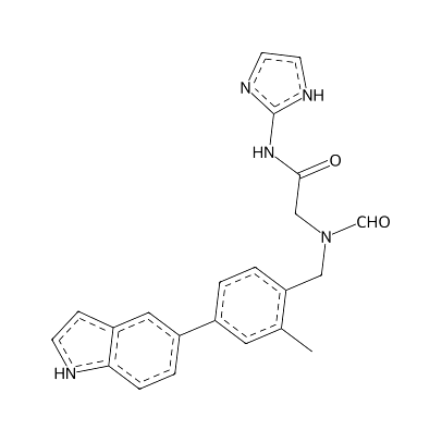 Cc1cc(-c2ccc3[nH]ccc3c2)ccc1CN(C=O)CC(=O)Nc1ncc[nH]1